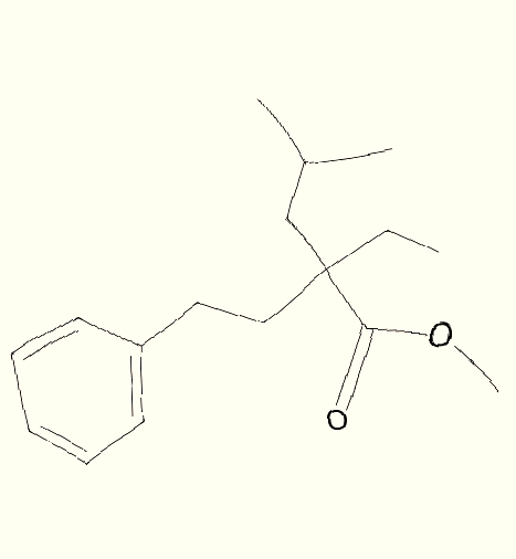 CCC(CCc1ccccc1)(CC(C)C)C(=O)OC